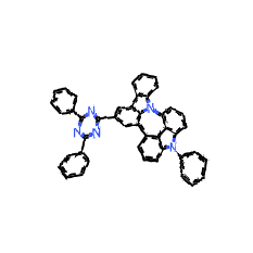 c1ccc(-c2nc(-c3ccccc3)nc(-c3cc4c5cccc6c5c5c(cccc5n5c7ccccc7c(c3)c45)n6-c3ccccc3)n2)cc1